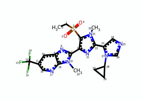 CCS(=O)(=O)c1c(-c2nc3cc(C(F)(F)F)cnc3n2C)nc(-c2cncn2C2CC2)n1C